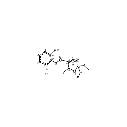 CCC1(CC)OC2(C)CCC1CC2OCc1c(F)cccc1F